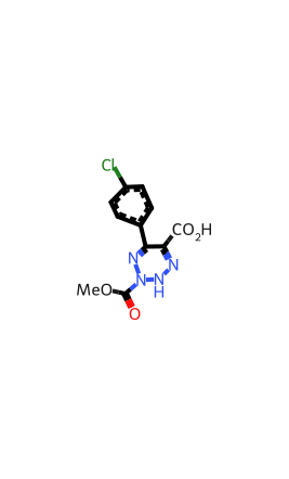 COC(=O)N1N=C(c2ccc(Cl)cc2)C(C(=O)O)=NN1